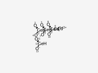 [Cd+2].[Cd+2].[O]=[GeH][O-].[O]=[GeH][O-].[O]=[GeH][O-].[O]=[GeH][O-]